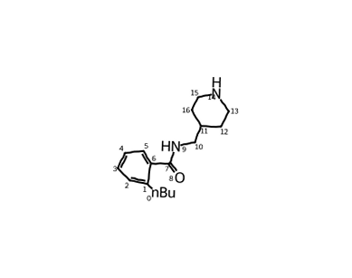 CCCCc1ccccc1C(=O)NCC1CCNCC1